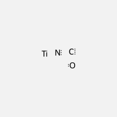 [C].[N].[O].[Ti]